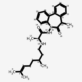 CC(C)=CCCC(C)CCN[C@@H](C)C(=O)NN1C(=O)C(C)c2ccccc2-c2ccccc21